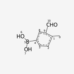 Cc1ccc(B(O)O)cc1C=O